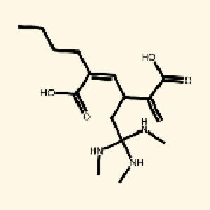 C=C(C(=O)O)C(C=C(CCCC)C(=O)O)CC(NC)(NC)NC